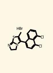 Br.CC1=C(c2ccc(Cl)c3c(Cl)cccc23)N2CCN=C2S1